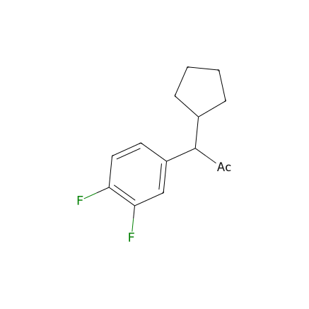 CC(=O)C(c1ccc(F)c(F)c1)C1CCCC1